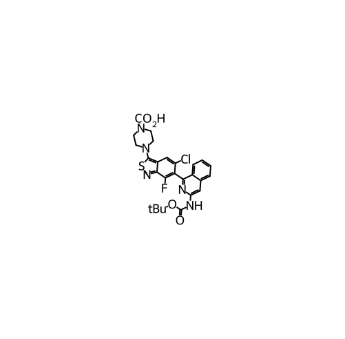 CC(C)(C)OC(=O)Nc1cc2ccccc2c(-c2c(Cl)cc3c(N4CCN(C(=O)O)CC4)snc3c2F)n1